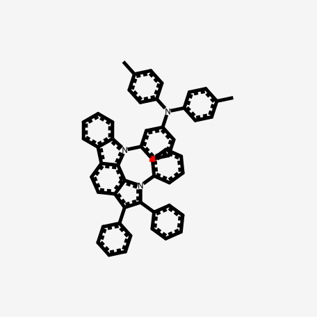 Cc1ccc(N(c2ccc(C)cc2)c2cccc(-n3c4ccccc4c4ccc5c(-c6ccccc6)c(-c6ccccc6)n(-c6ccccc6)c5c43)c2)cc1